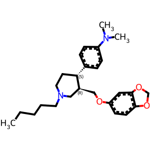 CCCCCN1CC[C@H](c2ccc(N(C)C)cc2)[C@@H](COc2ccc3c(c2)OCO3)C1